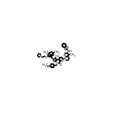 COc1ccc(COC(=O)c2nc(N3CCCc4c3nnc(Nc3nc5ccccc5s3)c4C)ccc2-c2cnn(CC34CC5(C)CC(C)(C3)CC(OCCN3CCCC3)(C5)C4)c2C)cc1